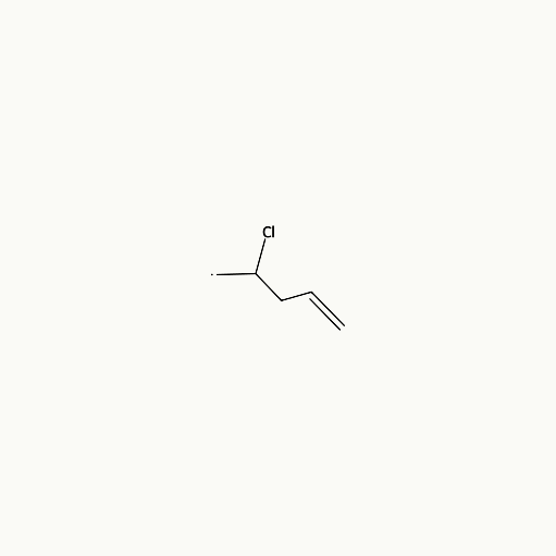 [CH2]C(Cl)CC=C